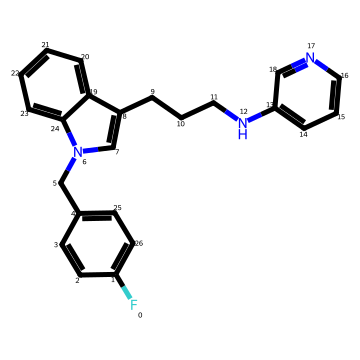 Fc1ccc(Cn2cc(CCCNc3cccnc3)c3ccccc32)cc1